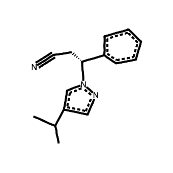 CC(C)c1cnn([C@H](CC#N)c2ccccc2)c1